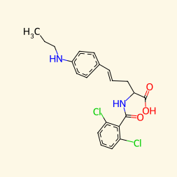 CCCNc1ccc(/C=C/CC(NC(=O)c2c(Cl)cccc2Cl)C(=O)O)cc1